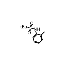 Cc1ccccc1NS(=O)(=O)C(C)(C)C